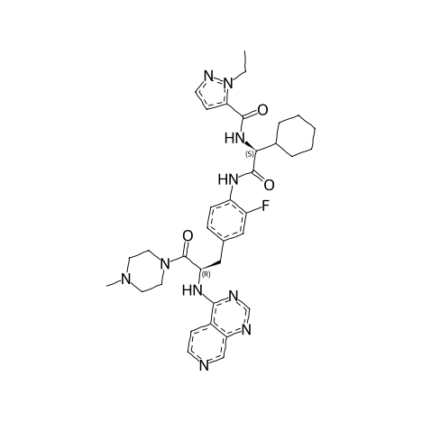 CCn1nccc1C(=O)N[C@H](C(=O)Nc1ccc(C[C@@H](Nc2ncnc3cnccc23)C(=O)N2CCN(C)CC2)cc1F)C1CCCCC1